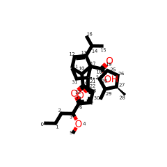 CCCC(OC)c1ccc(C2C3C=C(C(C)C)C2(C(=O)O)C(C=O)([C@@H]2CC[C@@H](C)C2C)C3)o1